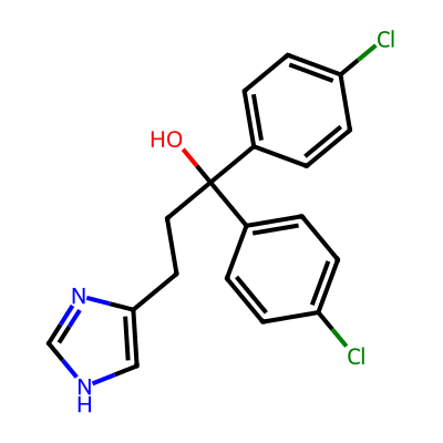 OC(CCc1c[nH]cn1)(c1ccc(Cl)cc1)c1ccc(Cl)cc1